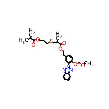 C=C(C)C(=O)OCCCSCC(C)C(=O)OCCc1ccc(OCOC)c(-n2nc3ccccc3n2)c1